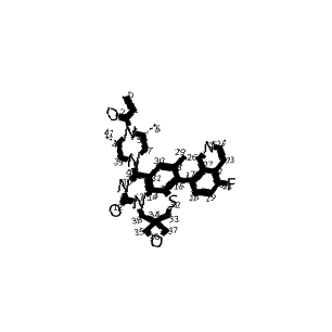 C=CC(=O)N1[C@H](C)CN(c2nc(=O)n3c4c(c(-c5ccc(F)c6ccncc56)c(C)cc24)SCC2(COC2)C3)C[C@@H]1C